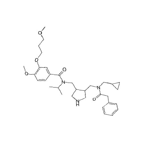 COCCCOc1cc(C(=O)N(CC2CNCC2CN(CC2CC2)C(=O)Cc2ccccc2)C(C)C)ccc1OC